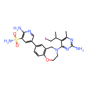 Cc1nc(N)nc(N2CCOc3ccc(-c4cnc(N)c(S(N)(=O)=O)c4)cc3C2)c1C(C)CI